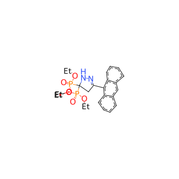 CCOP(=O)(OCC)C1(P(=O)(OCC)OCC)CC(c2c3ccccc3cc3ccccc23)=NN1